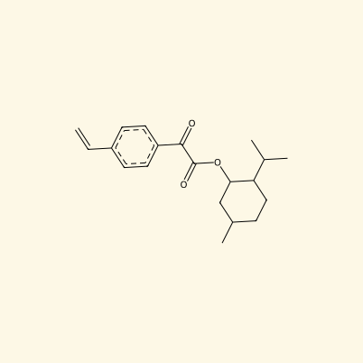 C=Cc1ccc(C(=O)C(=O)OC2CC(C)CCC2C(C)C)cc1